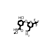 CONC(=O)c1cccc(Oc2cc(CN)cc(C(F)(F)F)n2)c1.Cl